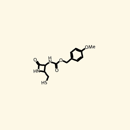 COc1ccc(COC(=O)NC2C(=O)NC2CS)cc1